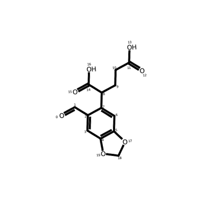 O=Cc1cc2c(cc1C(CCC(=O)O)C(=O)O)OCO2